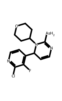 Fc1c(C2C=CN=C([AsH2])N2C2CCOCC2)ccnc1Cl